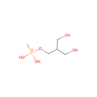 C[PH](O)(O)OCC(CO)CO